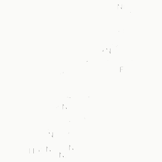 Cn1nnc(-c2ccc(-c3cc(F)c(N4C[C@H](CN)OC4=O)cc3F)cn2)n1